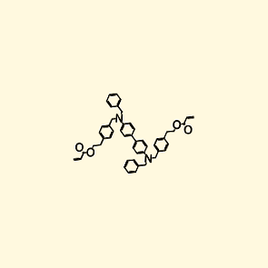 C=CC(=O)OCCc1ccc(CN(Cc2ccccc2)c2ccc(-c3ccc(N(Cc4ccccc4)Cc4ccc(CCOC(=O)C=C)cc4)cc3)cc2)cc1